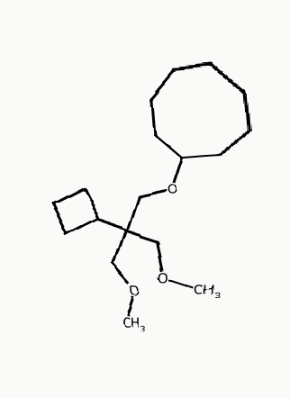 COCC(COC)(COC1CCCCCCC1)C1CCC1